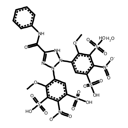 COc1c(N2N=C(C(=O)Nc3ccccc3)NN2c2cc(S(=O)(=O)O)c([N+](=O)[O-])c(S(=O)(=O)O)c2OC)cc(S(=O)(=O)O)c([N+](=O)[O-])c1S(=O)(=O)O.O